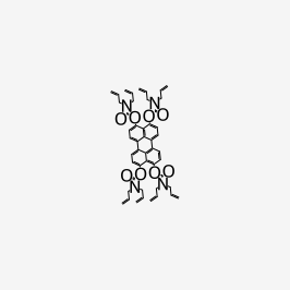 C=CCN(CC=C)C(=O)Oc1ccc2c3ccc(OC(=O)N(CC=C)CC=C)c4c(OC(=O)N(CC=C)CC=C)ccc(c5ccc(OC(=O)N(CC=C)CC=C)c1c25)c43